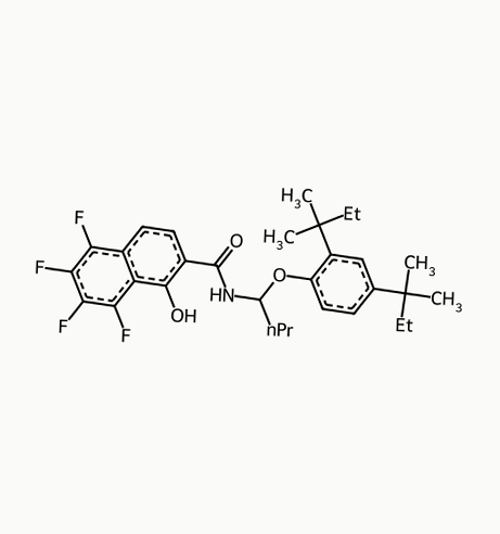 CCCC(NC(=O)c1ccc2c(F)c(F)c(F)c(F)c2c1O)Oc1ccc(C(C)(C)CC)cc1C(C)(C)CC